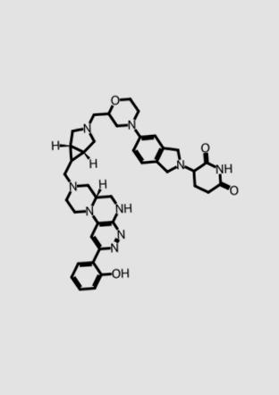 O=C1CCC(N2Cc3ccc(N4CCOC(CN5C[C@@H]6C(CN7CCN8c9cc(-c%10ccccc%10O)nnc9NC[C@H]8C7)[C@@H]6C5)C4)cc3C2)C(=O)N1